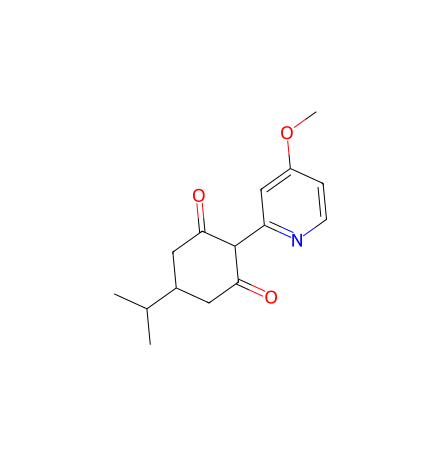 COc1ccnc(C2C(=O)CC(C(C)C)CC2=O)c1